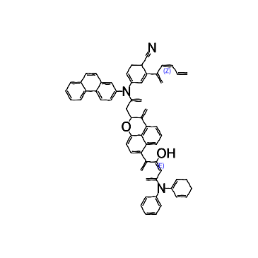 C=C/C=C\C(=C)C1=CC(N(C(=C)CC2Oc3ccc(C(=C)/C(O)=C\C(=C)N(C4=CCCC=C4)c4ccccc4)c4cccc(c34)C2=C)c2ccc3c(ccc4ccccc43)c2)=CCC1C#N